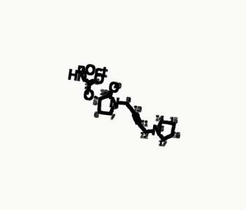 CCCCCCCCNC(=O)O[C@H]1CCN(CC#CCN2CCCC2)C1=O